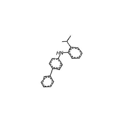 CC(C)c1ccccc1Nc1ccc(-c2ccccc2)cc1